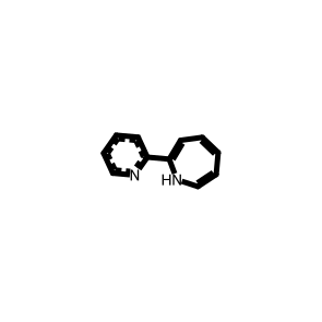 C1=CC=C(c2ccccn2)NC=C1